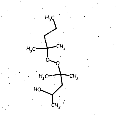 CCCC(C)(C)OOC(C)(C)CC(C)O